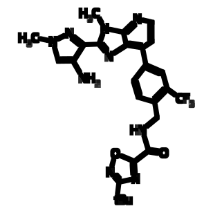 Cn1cc(N)c(-c2nc3c(-c4ccc(CNC(=O)c5nc(C(C)(C)C)no5)c(C(F)(F)F)c4)ccnc3n2C)n1